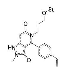 C=Cc1ccc(-c2c3c(=O)n(C)[nH]c3cc(=O)n2CCCOCC)cc1